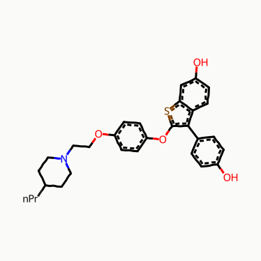 [CH2]CCC1CCN(CCOc2ccc(Oc3sc4cc(O)ccc4c3-c3ccc(O)cc3)cc2)CC1